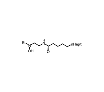 CCCCCCCCCCCC(=O)NCCN(O)CC